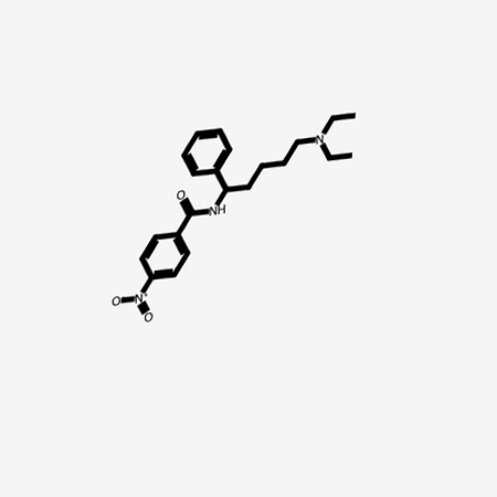 CCN(CC)CCCCC(NC(=O)c1ccc([N+](=O)[O-])cc1)c1ccccc1